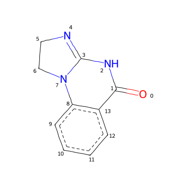 O=C1NC2=NCCN2c2ccccc21